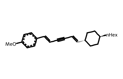 CCCCCC[C@H]1CC[C@H](/C=C/C#C/C=C/c2ccc(OC)cc2)CC1